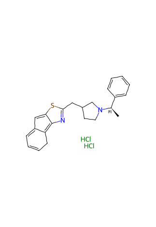 C[C@H](c1ccccc1)N1CCC(Cc2nc3c(s2)=CC2=CC=CCC=32)C1.Cl.Cl